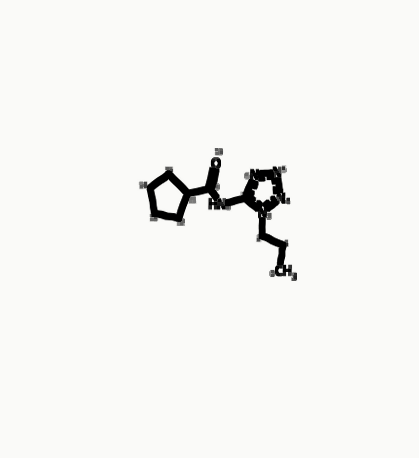 CCCn1nnnc1NC(=O)C1CCCC1